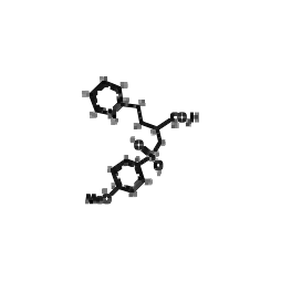 COc1ccc(S(=O)(=O)CC(CCc2ccccn2)C(=O)O)cc1